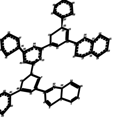 C1=CC2C=CC(C3=CC(c4nc(C5=CC(c6ccc7ccccc7n6)=C[C@H](c6ccccc6)C5)nc(-c5ccccc5)n4)CC(c4ccccc4)=C3)=NC2C=C1